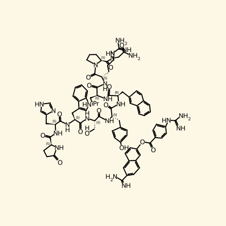 CC(C)C[C@H](NC(=O)[C@@H](Cc1ccc2ccccc2c1)NC(=O)[C@H](Cc1ccc(O)cc1)NC(=O)[C@H](CO)NC(=O)[C@H](Cc1c[nH]c2ccccc12)NC(=O)[C@H](Cc1c[nH]cn1)NC(=O)[C@@H]1CCC(=O)N1)C(=O)N[C@@H](CCCNC(=N)N)C(=O)N1CCC[C@H]1C(=O)NCC(N)=O.N=C(N)Nc1ccc(C(=O)Oc2ccc3cc(C(=N)N)ccc3c2)cc1